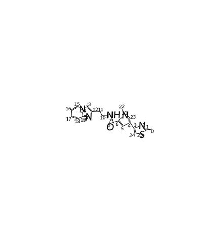 Cc1nc(-c2cc(C(=O)NCCc3cn4ccccc4n3)n(C)c2)cs1